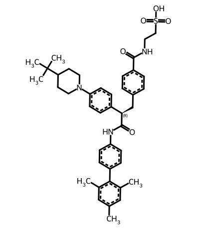 Cc1cc(C)c(-c2ccc(NC(=O)[C@H](Cc3ccc(C(=O)NCCS(=O)(=O)O)cc3)c3ccc(N4CCC(C(C)(C)C)CC4)cc3)cc2)c(C)c1